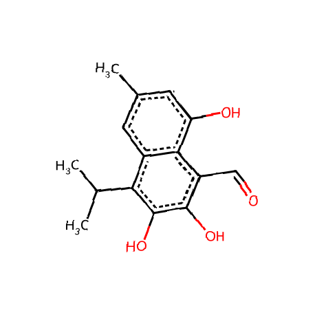 Cc1[c]c(O)c2c(C=O)c(O)c(O)c(C(C)C)c2c1